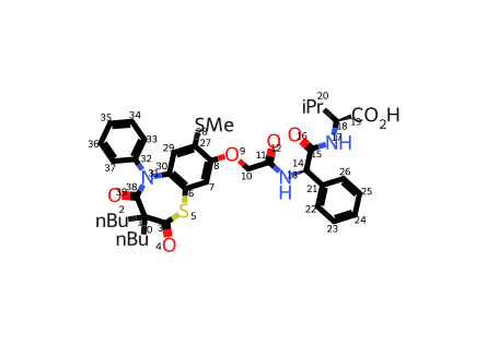 CCCCC1(CCCC)C(=O)Sc2cc(OCC(=O)N[C@@H](C(=O)N[C@H](C(=O)O)C(C)C)c3ccccc3)c(SC)cc2N(c2ccccc2)C1=O